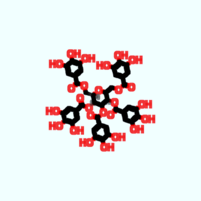 O=C(OCC1O[C@H](COC(=O)c2cc(O)c(O)c(O)c2)[C@@H](OC(=O)c2cc(O)c(O)c(O)c2)C(OC(=O)c2cc(O)c(O)c(O)c2)[C@@H]1OC(=O)c1cc(O)c(O)c(O)c1)c1cc(O)c(O)c(O)c1